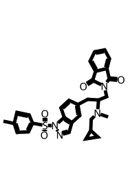 Cc1ccc(S(=O)(=O)n2ncc3cc(CC(CN4C(=O)c5ccccc5C4=O)N(C)CC4CC4)ccc32)cc1